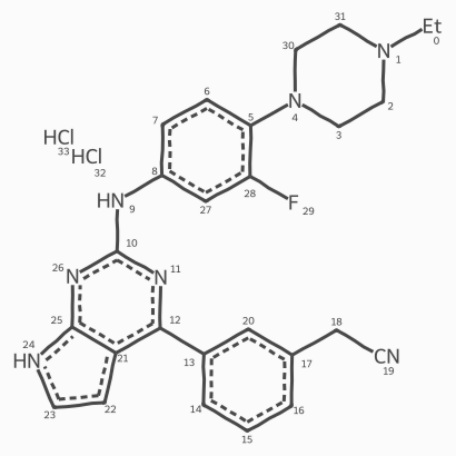 CCN1CCN(c2ccc(Nc3nc(-c4cccc(CC#N)c4)c4cc[nH]c4n3)cc2F)CC1.Cl.Cl